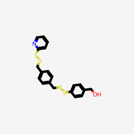 OCc1ccc(SSCc2ccc(CSSc3ccccn3)cc2)cc1